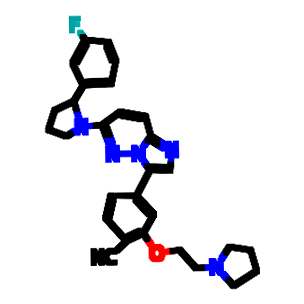 N#Cc1ccc(-c2cnc3ccc(N4CCCC4c4cccc(F)c4)nn23)cc1OCCN1CCCC1